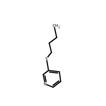 [CH2]CCCSc1cccnc1